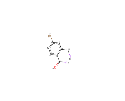 O=C(I)c1ccc(Br)cc1CI